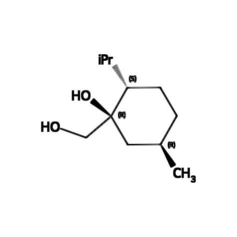 CC(C)[C@@H]1CC[C@@H](C)C[C@]1(O)CO